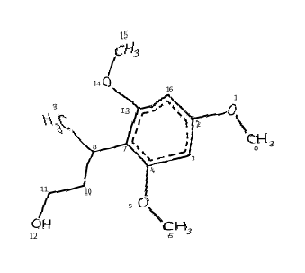 COc1cc(OC)c(C(C)CCO)c(OC)c1